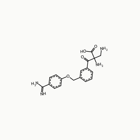 N=C(N)c1ccc(OCc2cccc(C(=O)C(N)(CN)C(=O)O)c2)cc1